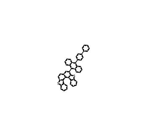 c1ccc(-c2ccc(-c3c4ccccc4c(-c4cc5ccc6sc7ccccc7c6c5c5c4sc4ccccc45)c4ccccc34)cc2)cc1